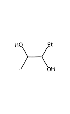 [CH2]CC(O)C([CH2])O